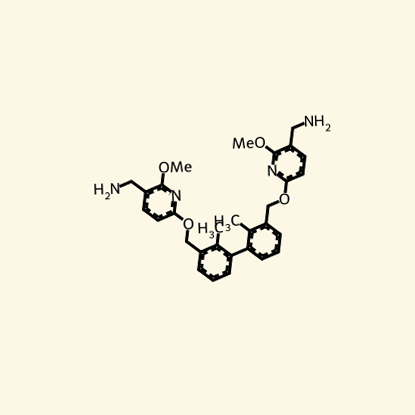 COc1nc(OCc2cccc(-c3cccc(COc4ccc(CN)c(OC)n4)c3C)c2C)ccc1CN